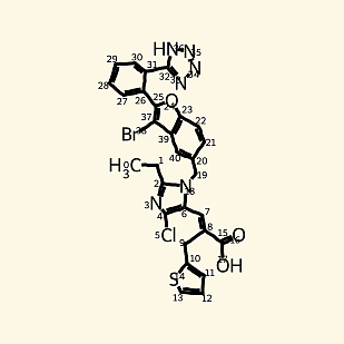 CCc1nc(Cl)c(/C=C(\Cc2cccs2)C(=O)O)n1Cc1ccc2oc(-c3ccccc3-c3nnn[nH]3)c(Br)c2c1